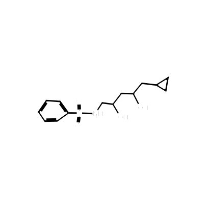 O=S(=O)(NCC(O)CC(O)CC1CC1)c1ccccc1